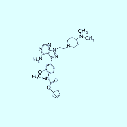 COc1cc(-c2nn(CCN3CCC(N(C)C)CC3)c3ncnc(N)c23)ccc1NC(=O)OC12CCC(C1)C2